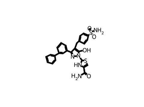 NC(=O)C1=CSC(n2nc(-c3cccc(-c4ccccc4)c3)c(Cc3ccc(S(N)(=O)=O)cc3)c2O)N1